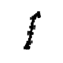 CN(C)C1Cc2ccccc2[C@@H]1Oc1ccc(S(=O)(=O)NCCOCCOCCNC(=O)NCCCCNC(=O)NCCOCCOCCNS(=O)(=O)c2ccc(O[C@H]3c4ccccc4C[C@@H]3N(C)C)cc2)cc1